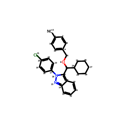 N#Cc1ccc(COC(c2c3ccccc3nn2-c2ccc(Cl)cc2)C2CCCCC2)cc1